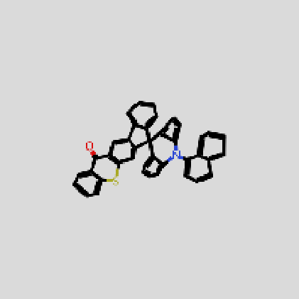 O=c1c2ccccc2sc2cc3c(cc12)-c1ccccc1C31c2ccccc2N(c2cccc3ccccc23)c2ccccc21